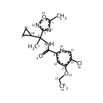 Cc1nc(C(C)(NC(=O)c2cc(OCC(F)(F)F)c(Cl)cn2)C2CC2)no1